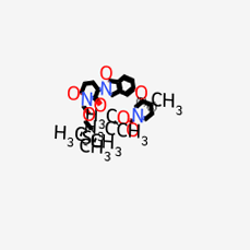 C[C@@H]1CCN(C(=O)OC(C)(C)C)C[C@@H]1Oc1ccc2c(c1)CN(C1CCC(=O)N(COCC[Si](C)(C)C)C1=O)C2=O